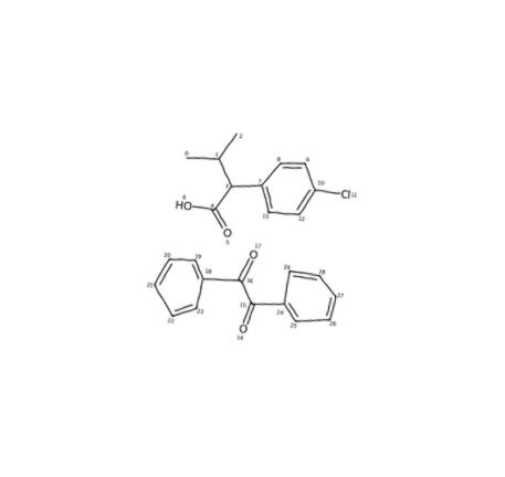 CC(C)C(C(=O)O)c1ccc(Cl)cc1.O=C(C(=O)c1ccccc1)c1ccccc1